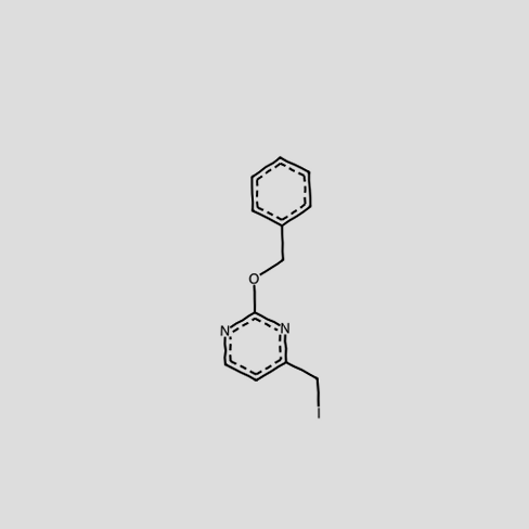 ICc1ccnc(OCc2ccccc2)n1